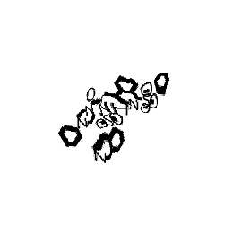 O=C([C@H](Cc1cnc(S(=O)(=O)Oc2ccccc2)c2ccccc12)NCS(=O)(=O)c1cccc2cnccc12)N1CCN(c2ccccc2)CC1